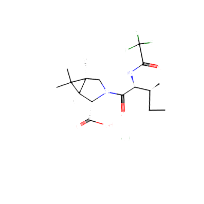 CC[C@H](C)[C@H](NC(=O)C(F)(F)F)C(=O)N1C[C@H]2[C@@H]([C@H]1C(=O)O)C2(C)C.Cl